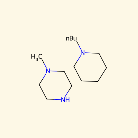 CCCCN1CCCCC1.CN1CCNCC1